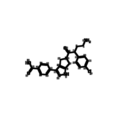 NCCC(C(=O)N1Cc2[nH]nc(-c3ccc(C(=O)O)cc3)c2C1)c1ccc(Cl)cc1